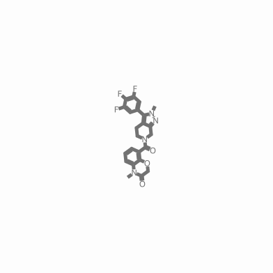 CN1C(=O)COc2c(C(=O)N3CCc4c(nn(C)c4-c4cc(F)c(F)c(F)c4)C3)cccc21